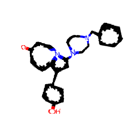 O=c1ccc2c(-c3ccc(O)cc3)cc(N3CCN(Cc4ccccc4)CC3)n2cc1